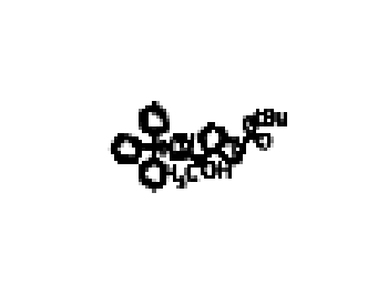 CC(C)(C)OC(=O)n1ccc2c(C(C)(O)c3cn(C(c4ccccc4)(c4ccccc4)c4ccccc4)cn3)cccc21